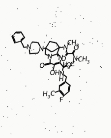 Cc1cc(CNC(=O)c2nc3n(c(=O)c2O)CC2(N4CCN(Cc5ccccc5)CC4)CCC3(N(C)C(=O)C(=O)N(C)C)CC2)ccc1F